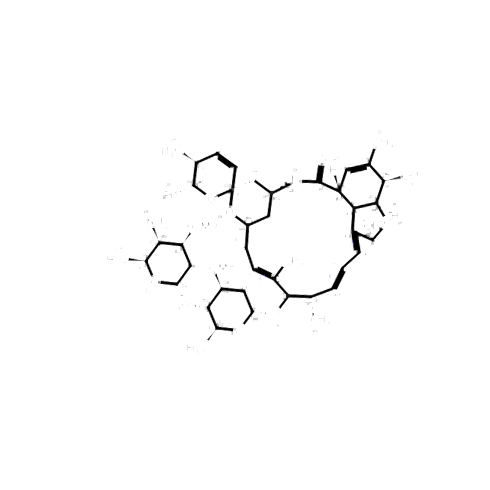 CO[C@H]1C[C@H](O[C@H]2[C@H](C)O[C@@H](OC3/C(C)=C/C[C@@H]4C[C@@H](C[C@]5(C=C[C@H](C)[C@@H](C(C)C)O5)O4)OC(=O)[C@@H]4C=C(C)[C@@H](O)[C@H]5OC/C(=C\C=C\[C@@H]3C)[C@]54O)C[C@@H]2OC)O[C@@H](C)[C@H]1N